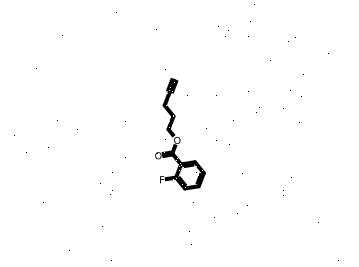 C#CCCCOC(=O)c1ccccc1F